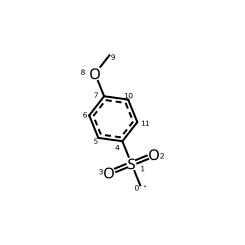 [CH2]S(=O)(=O)c1ccc(OC)cc1